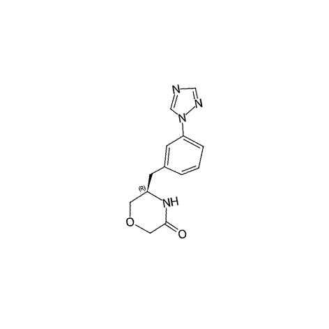 O=C1COC[C@@H](Cc2cccc(-n3cncn3)c2)N1